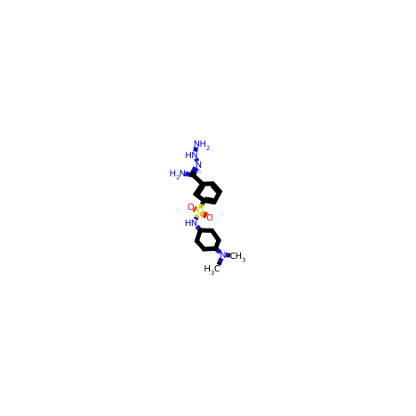 CN(C)C1CCC(NS(=O)(=O)c2cccc(/C(N)=N/NN)c2)CC1